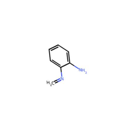 C=Nc1ccccc1N